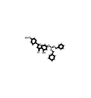 COc1ccc(-c2cc(=O)c3c(O)cc(OP(OCc4ccccc4)OCc4ccccc4)cc3o2)cc1